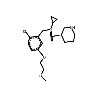 COCCOc1ccc(Cl)c(CN(C(=O)[C@@H]2CCCNC2)C2CC2)c1